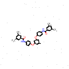 Cc1cc(Oc2ccc(NC(=O)c3cc(C(F)(F)F)cc(C(F)(F)F)c3)cc2)cc(Oc2ccc(NC(=O)c3cc(C(F)(F)F)cc(C(F)(F)F)c3)cc2)c1